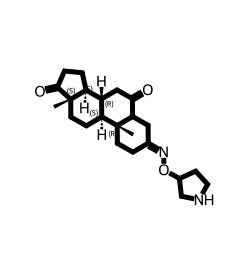 C[C@]12CCC(=NOC3CCNC3)CC1C(=O)C[C@@H]1[C@@H]2CC[C@]2(C)C(=O)CC[C@@H]12